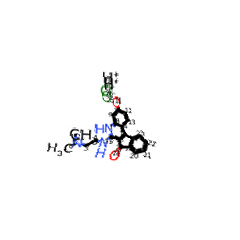 CN(C)CCNc1[nH]c2cc(=O)ccc-2c2c1C(=O)c1ccccc1-2.[Cl-].[Cl-].[H+].[H+]